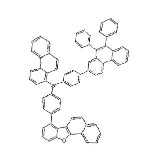 c1ccc(-c2c(-c3ccccc3)c3cc(-c4ccc(N(c5ccc(-c6cccc7oc8c9ccccc9ccc8c67)cc5)c5cccc6c5ccc5ccccc56)cc4)ccc3c3ccccc23)cc1